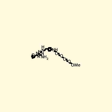 COCCOCCOCCOCCOCCNc1ccc(CCNc2nc(N)n3nc(-c4ccco4)nc3n2)cc1